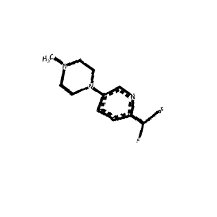 CN1CCN(c2ccc(C(F)F)nc2)CC1